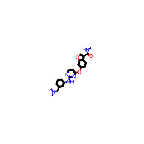 CNC(=O)c1coc2cc(Oc3ccnc(Nc4cccc(CN(C)C)c4)n3)ccc12